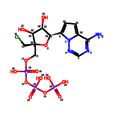 Nc1ncnn2c([C@@H]3O[C@](CCl)(COP(=O)(O)OP(=O)(O)OP(=O)(O)O)[C@@H](O)[C@H]3O)ccc12